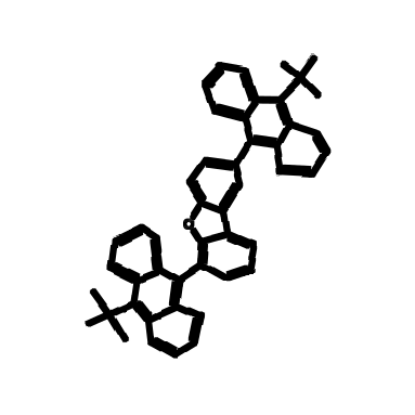 CC(C)(C)c1c2ccccc2c(-c2ccc3oc4c(-c5c6ccccc6c(C(C)(C)C)c6ccccc56)cccc4c3c2)c2ccccc12